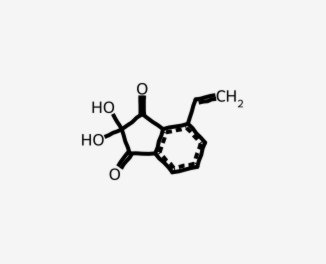 C=Cc1cccc2c1C(=O)C(O)(O)C2=O